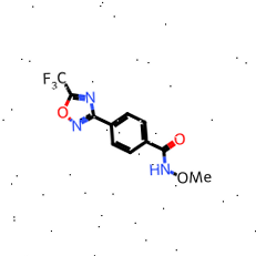 CONC(=O)c1ccc(-c2noc(C(F)(F)F)n2)cc1